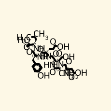 CC(C)C[C@H](NC(=O)[C@H](Cc1ccc(O)cc1)NC(=O)[C@H](CCC(=O)O)NC(=O)[C@H](CC(=O)O)NC(=O)[C@H](C)NC(=O)[C@@H](N)CC(=O)O)C(=O)O